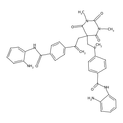 C=C(CC1(CC(=C)c2ccc(C(=O)Nc3ccccc3N)cc2)C(=O)N(C)C(=O)N(C)C1=O)c1ccc(C(=O)Nc2ccccc2N)cc1